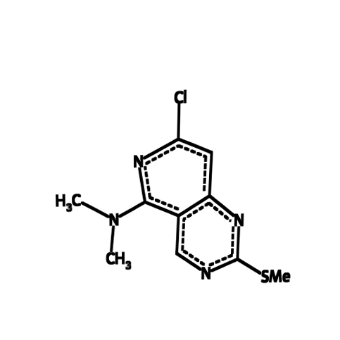 CSc1ncc2c(N(C)C)nc(Cl)cc2n1